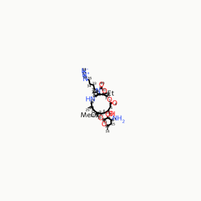 CC[C@H]1OC(=O)CC(=O)C[C@@H](O[C@@H]2O[C@H](C)CC(N)C2O)[C@](C)(OC)C[C@@H](C)CN[C@H](C)[C@H]2N(CCCCN=[N+]=[N-])C(=O)O[C@]12C